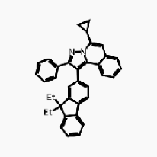 CCC1(CC)c2ccccc2-c2ccc(-c3c(-c4ccccc4)nn4c(C5CC5)cc5ccccc5c34)cc21